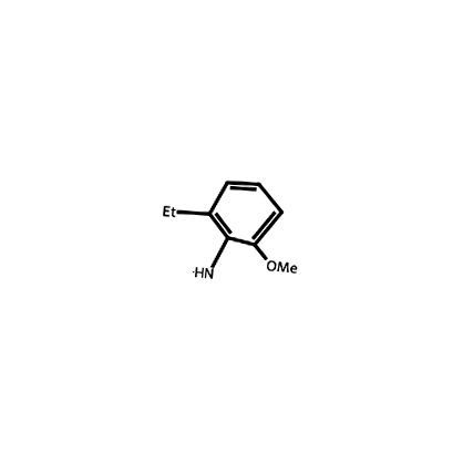 CCc1cccc(OC)c1[NH]